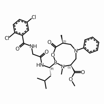 COC(=O)[C@@H]1CN(c2ccccc2)C[C@H](C)C(=O)OB([C@H](CC(C)C)NC(=O)CNC(=O)c2cc(Cl)ccc2Cl)N1C